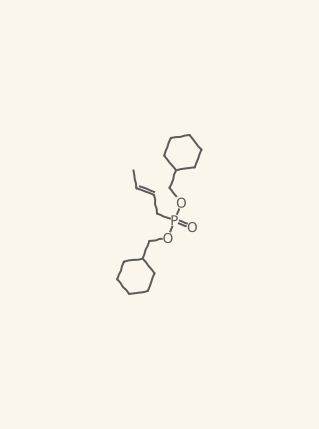 C/C=C/CP(=O)(OCC1CCCCC1)OCC1CCCCC1